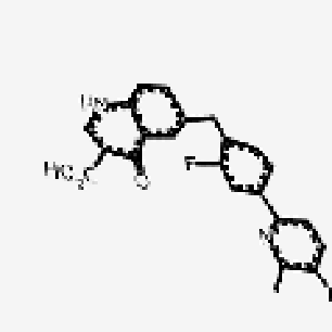 Cc1nc(-c2ccc(Cc3ccc4[nH]cc(C(=O)O)c(=O)c4c3)c(F)c2)ccc1F